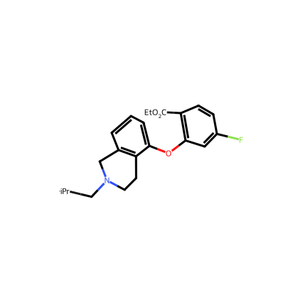 CCOC(=O)c1ccc(F)cc1Oc1cccc2c1CCN(C[C](C)C)C2